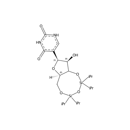 CC(C)[Si]1(C(C)C)OC[C@H]2O[C@@H](c3c[nH]c(=O)[nH]c3=O)[C@@H](O)C2O[Si](C(C)C)(C(C)C)O1